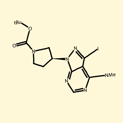 CNc1ncnc2c1c(I)nn2[C@H]1CCN(C(=O)OC(C)(C)C)C1